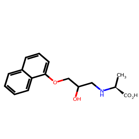 C[C@H](NCC(O)COc1cccc2ccccc12)C(=O)O